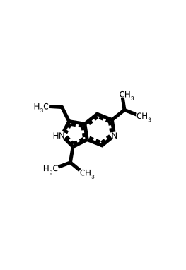 CCc1[nH]c(C(C)C)c2cnc(C(C)C)cc12